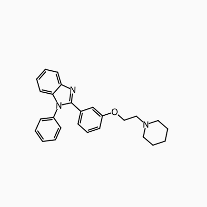 c1ccc(-n2c(-c3cccc(OCCN4CCCCC4)c3)nc3ccccc32)cc1